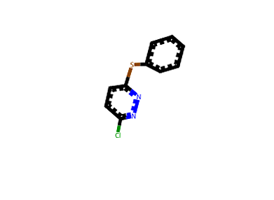 Clc1ccc(Sc2ccccc2)nn1